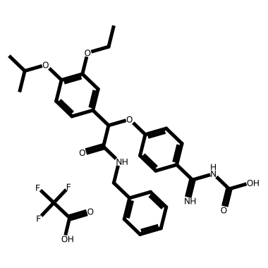 CCOc1cc(C(Oc2ccc(C(=N)NC(=O)O)cc2)C(=O)NCc2ccccc2)ccc1OC(C)C.O=C(O)C(F)(F)F